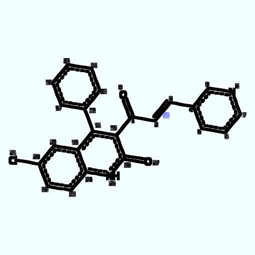 O=C(/C=C/c1cccnc1)c1c(-c2ccccc2)c2cc(Cl)ccc2[nH]c1=O